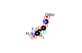 COC(=O)Oc1ccc(Oc2ccc(C(C)C(O)(c3ccc4oc(=O)n(C)c4c3)C(F)(F)F)c(Cl)c2)nn1